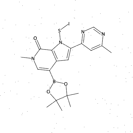 Cc1cc(-c2cc3c(B4OC(C)(C)C(C)(C)O4)cn(C)c(=O)c3n2SI)ncn1